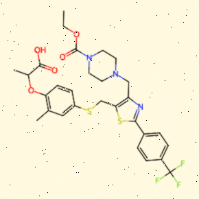 CCOC(=O)N1CCN(Cc2nc(-c3ccc(C(F)(F)F)cc3)sc2CSc2ccc(OC(C)C(=O)O)c(C)c2)CC1